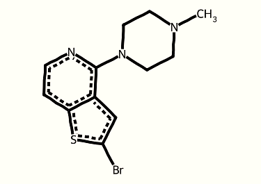 CN1CCN(c2nccc3sc(Br)cc23)CC1